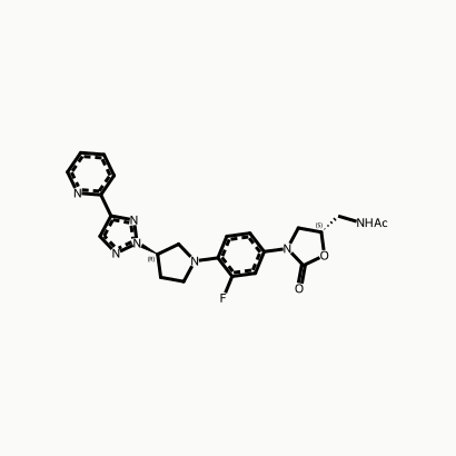 CC(=O)NC[C@H]1CN(c2ccc(N3CC[C@@H](n4ncc(-c5ccccn5)n4)C3)c(F)c2)C(=O)O1